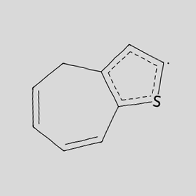 [c]1cc2c(s1)C=CC=CC2